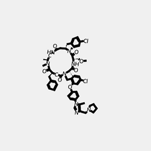 COC[C@@H]1NC(=O)[C@H](C)N(Cc2ccc(Cl)cc2Oc2ccc(-n3cnc(CN4CCCC4)c3C)cc2)C(=O)C[C@@H](Cc2ccccc2)C(=O)N(C)[C@@H](C)CNC(=O)C[C@H](Cc2ccc(Cl)cc2)N(C)C1=O